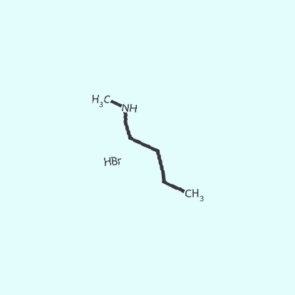 Br.CCCCNC